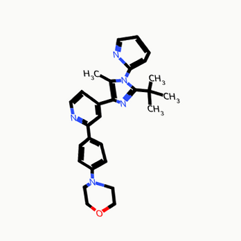 Cc1c(-c2ccnc(-c3ccc(N4CCOCC4)cc3)c2)nc(C(C)(C)C)n1-c1ccccn1